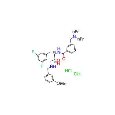 CCCN(CCC)Cc1cccc(C(=O)N[C@@H](Cc2cc(F)cc(F)c2)[C@H](O)CNCc2cccc(OC)c2)c1.Cl.Cl